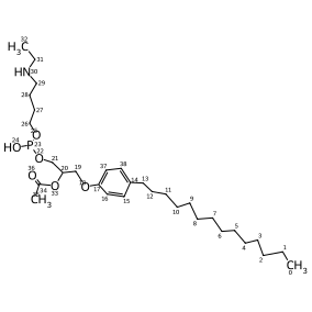 CCCCCCCCCCCCCCc1ccc(OCC(COP(O)OCCCCNCC)OC(C)=O)cc1